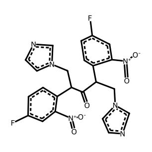 O=C(C(Cn1ccnc1)c1ccc(F)cc1[N+](=O)[O-])C(Cn1ccnc1)c1ccc(F)cc1[N+](=O)[O-]